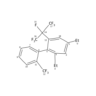 CCc1[c]c(CC)c(-c2ccccc2C(F)(F)F)c(C(F)(C(F)(F)F)C(F)(F)F)c1